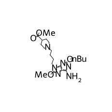 CCCCOc1nc(N)c2nc(OC)n(CCCCN3CCC(C(=O)OC)CC3)c2n1